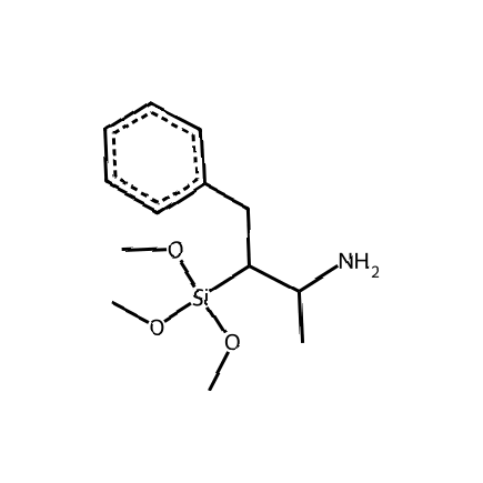 CO[Si](OC)(OC)C(Cc1ccccc1)C(C)N